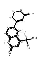 O=C1C=C(c2ccc3[nH]c(=O)cc(C(F)(F)F)c3c2)CCC1